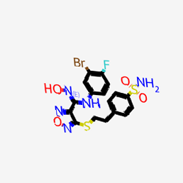 NS(=O)(=O)c1ccc(CCSc2nonc2/C(=N\O)Nc2ccc(F)c(Br)c2)cc1